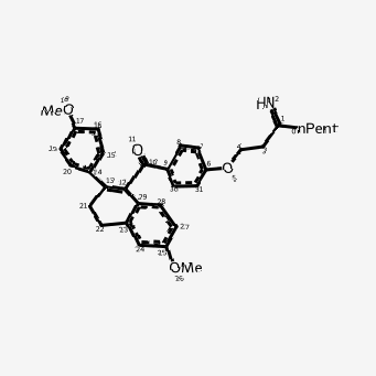 CCCCCC(=N)CCOc1ccc(C(=O)C2=C(c3ccc(OC)cc3)CCc3cc(OC)ccc32)cc1